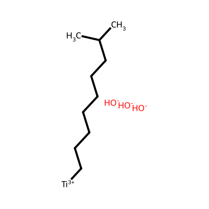 CC(C)CCCCCC[CH2][Ti+3].[OH-].[OH-].[OH-]